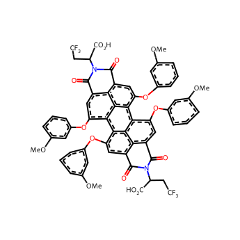 COc1cccc(Oc2cc3c4c(cc(Oc5cccc(OC)c5)c5c6c(Oc7cccc(OC)c7)cc7c8c(cc(Oc9cccc(OC)c9)c(c2c45)c86)C(=O)N(C(CC(F)(F)F)C(=O)O)C7=O)C(=O)N(C(CC(F)(F)F)C(=O)O)C3=O)c1